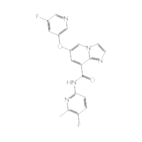 Cc1nc(NC(=O)c2cc(Oc3cncc(F)c3)cn3ccnc23)ccc1F